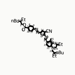 CCCCC(CC)COC(=O)c1ccc(N=Nc2cc(C#N)c(/N=N/c3ccc(N(CC(CC)CCCC)CC(CC)CCCC)cc3C)s2)cc1